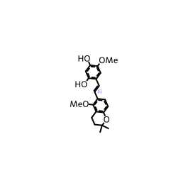 COc1cc(/C=C/c2ccc3c(c2OC)CCC(C)(C)O3)c(O)cc1O